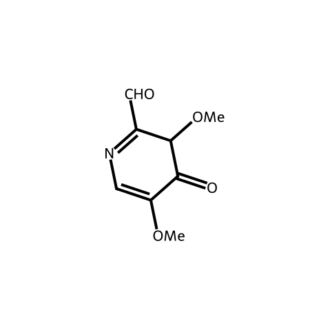 COC1=CN=C(C=O)C(OC)C1=O